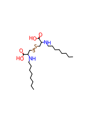 CCCCCCCCNC(CSSCC(NCCCCCCCC)C(=O)O)C(=O)O